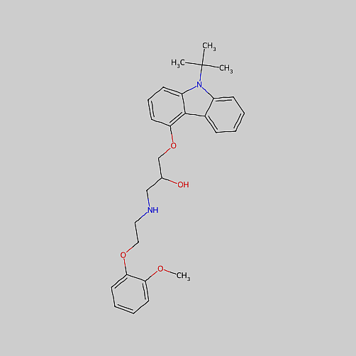 COc1ccccc1OCCNCC(O)COc1cccc2c1c1ccccc1n2C(C)(C)C